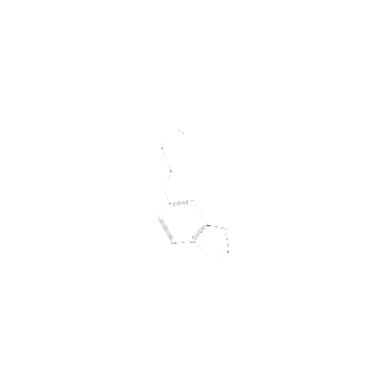 N#CCCOc1ccc2c(c1)CCO2